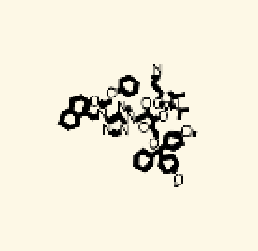 COc1ccc(C(OCC2OC(n3cnc4c(N(Cc5cccc6ccccc56)C(=O)COc5ccccc5)ncnc43)C(OC)C2OP(OCCC#N)N(C(C)C)C(C)C)(c2ccccc2)c2ccc(OC)cc2)cc1